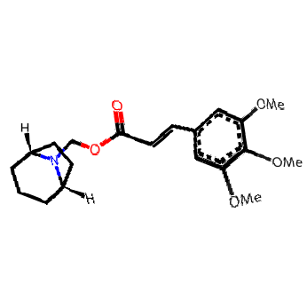 COc1cc(C=CC(=O)OCN2[C@@H]3CCC[C@H]2CC3)cc(OC)c1OC